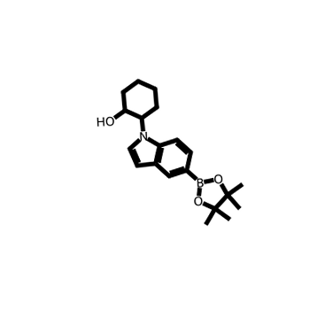 CC1(C)OB(c2ccc3c(ccn3C3CCCCC3O)c2)OC1(C)C